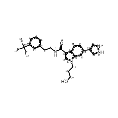 O=C(NCCc1cccc(C(F)(F)F)c1)c1cn(CCCO)c2cc(-c3cn[nH]c3)ccc12